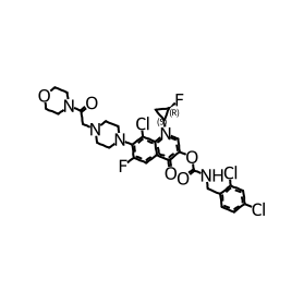 O=C(NCc1ccc(Cl)cc1Cl)Oc1cn([C@H]2C[C@H]2F)c2c(Cl)c(N3CCN(CC(=O)N4CCOCC4)CC3)c(F)cc2c1=O